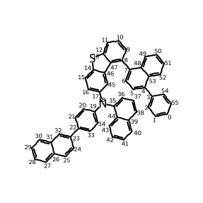 c1ccc(-c2ccc(-c3cccc4sc5ccc(N(c6ccc(-c7ccc8ccccc8c7)cc6)c6cccc7ccccc67)cc5c34)c3ccccc23)cc1